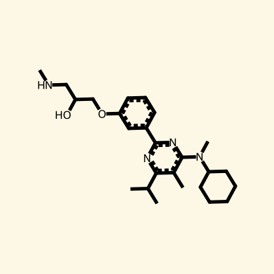 CNCC(O)COc1cccc(-c2nc(C(C)C)c(C)c(N(C)C3CCCCC3)n2)c1